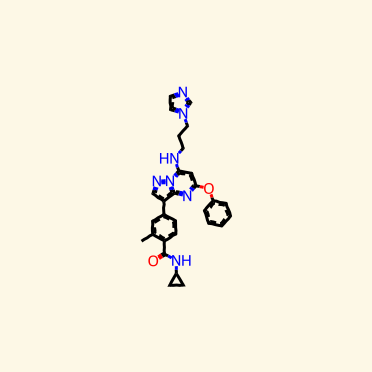 Cc1cc(-c2cnn3c(NCCCn4ccnc4)cc(Oc4ccccc4)nc23)ccc1C(=O)NC1CC1